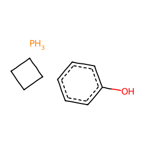 C1CCC1.Oc1ccccc1.P